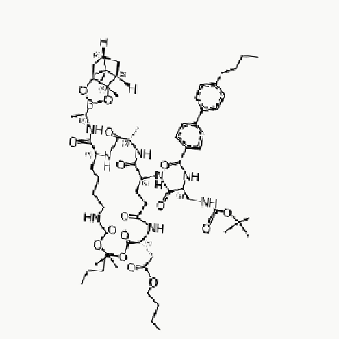 CCCCOC(=O)C[C@@H](NC(=O)CC[C@H](NC(=O)[C@H](CNC(=O)OC(C)(C)C)NC(=O)c1ccc(-c2ccc(CCCC)cc2)cc1)C(=O)N[C@@H](C)C(=O)N[C@@H](CCCCNC(=O)OC(C)(C)C)C(=O)N[C@@H](C)B1OC2C[C@@H]3C[C@@H](C3(C)C)[C@]2(C)O1)C(=O)OCCCC